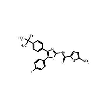 CCC(C)(C)c1ccc(-c2nc(NC(=O)c3ccc([N+](=O)[O-])s3)sc2-c2ccc(F)cc2)cc1